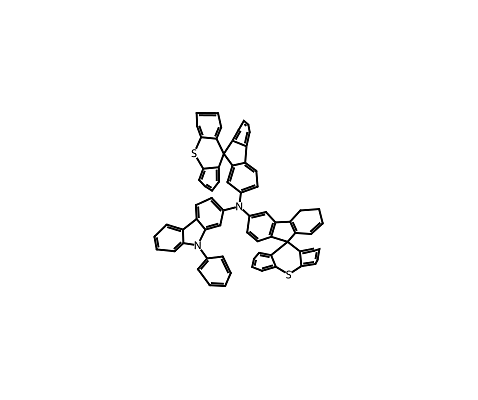 C1=CC2=C(CC1)c1cc(N(c3ccc4c(c3)C3(c5ccccc5Sc5ccccc53)c3ccccc3-4)c3ccc4c5ccccc5n(-c5ccccc5)c4c3)ccc1C21c2ccccc2Sc2ccccc21